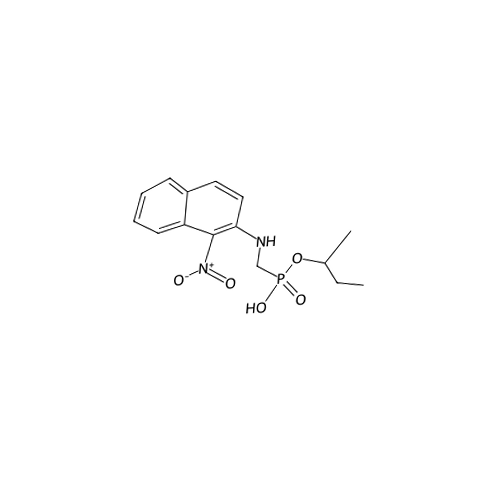 CCC(C)OP(=O)(O)CNc1ccc2ccccc2c1[N+](=O)[O-]